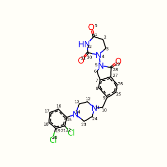 O=C1CCN(N2Cc3cc(CN4CCN(c5cccc(Cl)c5Cl)CC4)ccc3C2=O)C(=O)N1